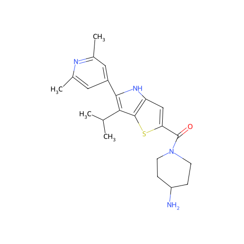 Cc1cc(-c2[nH]c3cc(C(=O)N4CCC(N)CC4)sc3c2C(C)C)cc(C)n1